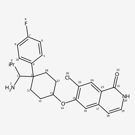 CC(C)C(N)C1(c2ccc(F)cc2)CCC(Oc2cc3cc[nH]c(=O)c3cc2Cl)CC1